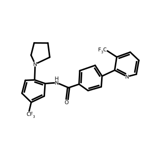 O=C(Nc1cc(C(F)(F)F)ccc1N1CCCC1)c1ccc(-c2ncccc2C(F)(F)F)cc1